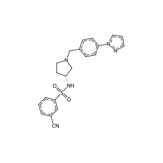 N#Cc1cccc(S(=O)(=O)N[C@@H]2CCN(Cc3ccc(-n4cccn4)cc3)C2)c1